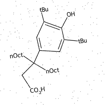 CCCCCCCCC(CCCCCCCC)(CC(=O)O)c1cc(C(C)(C)C)c(O)c(C(C)(C)C)c1